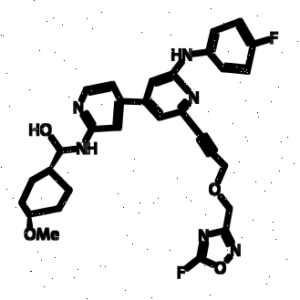 CO[C@H]1CC[C@@H](C(O)Nc2cc(-c3cc(C#CCOCc4noc(F)n4)nc(Nc4ccc(F)cc4)c3)ccn2)CC1